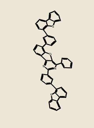 c1ccc(-c2nc(-c3cccc(-c4cccc5c4sc4ccccc45)c3)nc3c2oc2c(-c4cccc(-c5cccc6c5sc5ccccc56)c4)cccc23)cc1